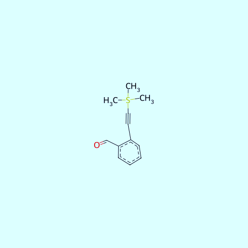 CS(C)(C)C#Cc1ccccc1C=O